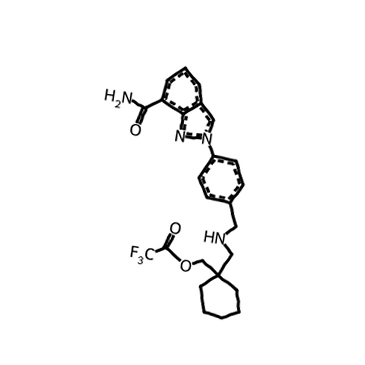 NC(=O)c1cccc2cn(-c3ccc(CNCC4(COC(=O)C(F)(F)F)CCCCC4)cc3)nc12